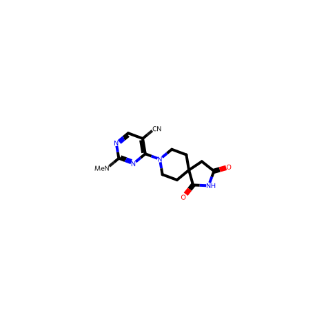 CNc1ncc(C#N)c(N2CCC3(CC2)CC(=O)NC3=O)n1